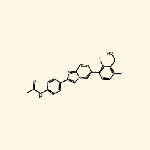 CC(=O)Nc1ccc(-c2cn3cc(-c4ccc(F)c(CO)c4F)ccc3n2)cc1